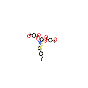 CCCc1ccc(-c2ccc(-c3nc4c(OC(=O)C5CCC(C(C)=O)CC5)ccc(OC(=O)C5CCC(C(C)=O)CC5)c4s3)s2)cc1